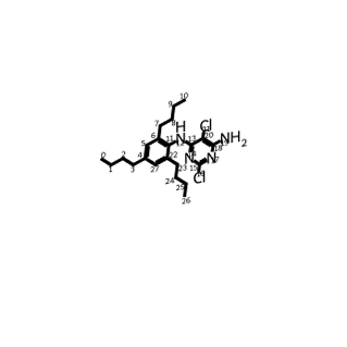 CCCCc1cc(CCCC)c(Nc2nc(Cl)nc(N)c2Cl)c(CCCC)c1